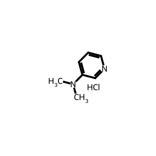 CN(C)c1cccnc1.Cl